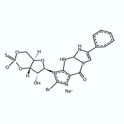 O=C1c2nc(Br)n([C@@H]3O[C@@H]4COP([O-])(=S)O[C@H]4[C@H]3O)c2NC2NC(c3ccccc3)=CN12.[Na+]